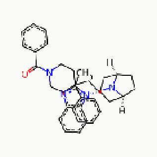 Cc1nc2ccccc2n1[C@@H]1C[C@H]2CC[C@@H](C1)N2CCC1(c2ccccc2)CCN(C(=O)c2ccccc2)CC1